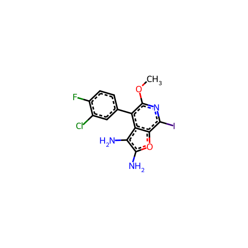 COc1nc(I)c2oc(N)c(N)c2c1-c1ccc(F)c(Cl)c1